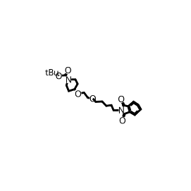 CC(C)(C)OC(=O)N1CCC(OCCOCCCCCN2C(=O)c3ccccc3C2=O)CC1